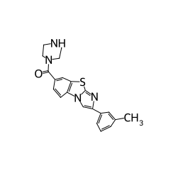 Cc1cccc(-c2cn3c(n2)sc2cc(C(=O)N4CCNCC4)ccc23)c1